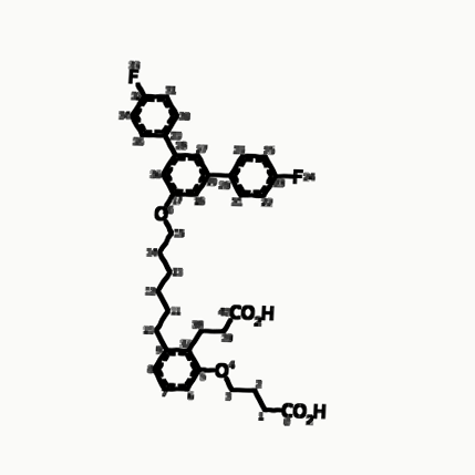 O=C(O)CCCOc1cccc(CCCCCCOc2cc(-c3ccc(F)cc3)cc(-c3ccc(F)cc3)c2)c1CCC(=O)O